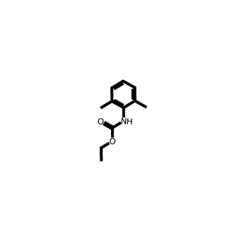 CCOC(=O)Nc1c(C)cccc1C